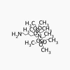 CCO[Si](OCC)(OCC)C(CC)N(CCCCCCN)C(CC)[Si](OCC)(OCC)OCC